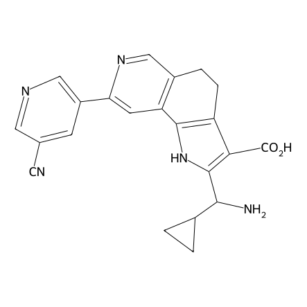 N#Cc1cncc(-c2cc3c(cn2)CCc2c-3[nH]c(C(N)C3CC3)c2C(=O)O)c1